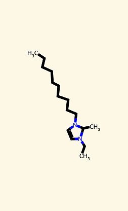 CCCCCCCCCCN1C=CN(CC)C1C